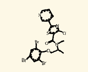 CC(COc1c(Br)cc(Br)cc1Br)N(C)C(=O)c1sc(-c2cccnc2)nc1Cl